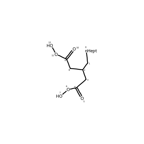 CCCCCCCCC(CC(=O)OO)CC(=O)OO